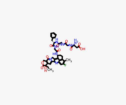 CC[C@@]1(O)C(=O)OCc2c1cc1n(c2=O)Cc2c-1nc1cc(F)c(C)c3c1c2[C@@H](NC(=O)CNC(=O)[C@H](Cc1ccccc1)NC(=O)CNC(=O)CNC(=O)[C@@H](N)CC(=O)O)CC3